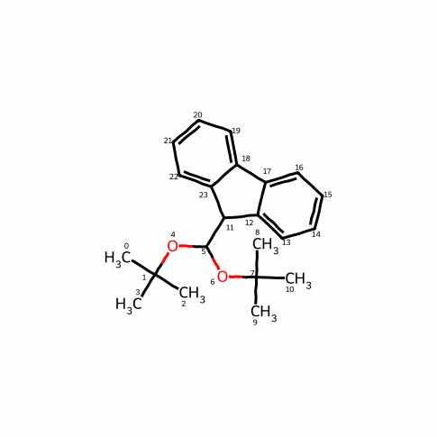 CC(C)(C)OC(OC(C)(C)C)C1c2ccccc2-c2ccccc21